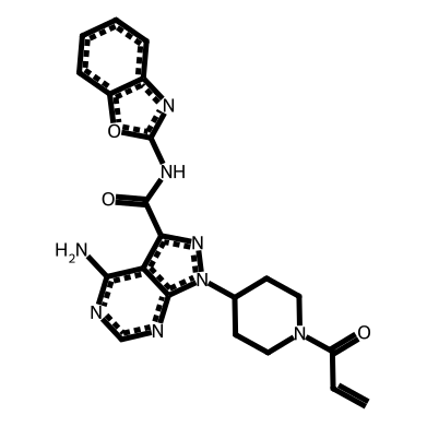 C=CC(=O)N1CCC(n2nc(C(=O)Nc3nc4ccccc4o3)c3c(N)ncnc32)CC1